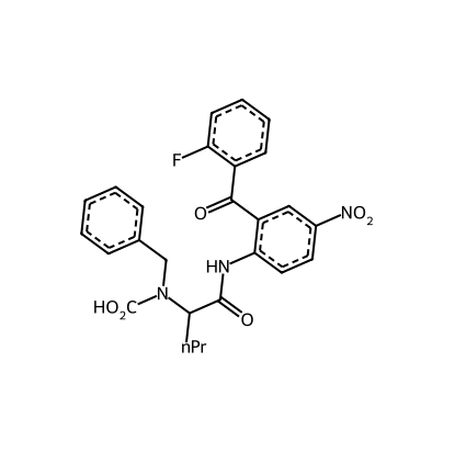 CCCC(C(=O)Nc1ccc([N+](=O)[O-])cc1C(=O)c1ccccc1F)N(Cc1ccccc1)C(=O)O